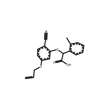 C=CCOc1ccc(C#N)c(OC(C(=O)O)c2ccccc2C)c1